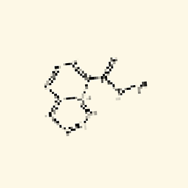 [CH]=C(SC#N)c1cccc2ccccc12